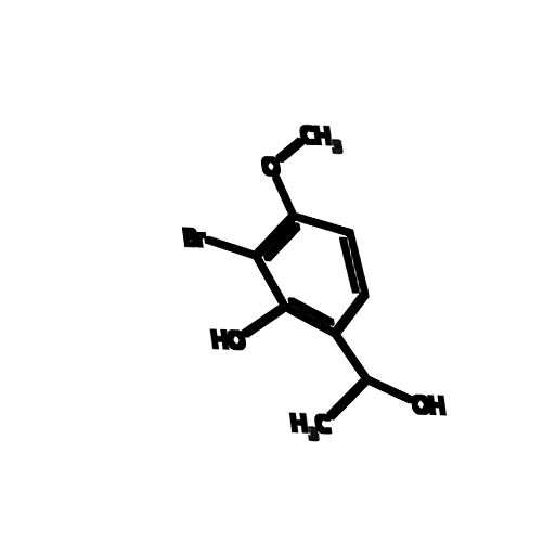 COc1ccc(C(C)O)c(O)c1Br